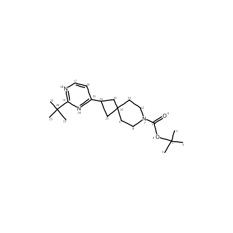 CC(C)(C)OC(=O)N1CCC2(CC1)CC(c1ccnc(C(C)(C)C)n1)C2